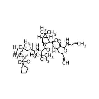 C#CCCC(NC(=O)[C@@H]1[C@@H]2[C@H](CN1C(=O)[C@@H](NC(=O)N[C@H](CN(C)S(=O)(=O)N1CCCC1)C(C)(C)C)C(C)(C)C)C2(C)C)C(=O)C(=O)NCC=C